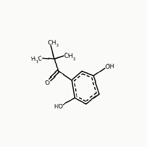 CC(C)(C)C(=O)c1cc(O)ccc1O